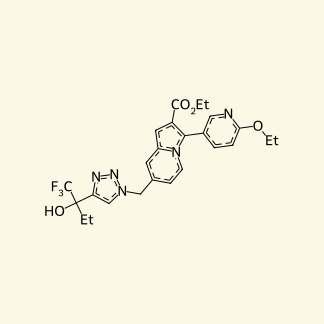 CCOC(=O)c1cc2cc(Cn3cc(C(O)(CC)C(F)(F)F)nn3)ccn2c1-c1ccc(OCC)nc1